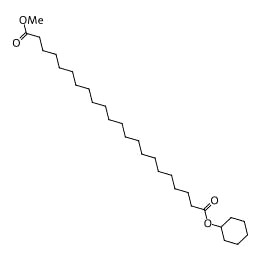 COC(=O)CCCCCCCCCCCCCCCCCCCCC(=O)OC1CCCCC1